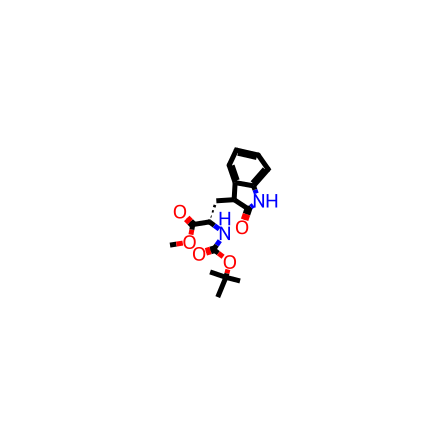 COC(=O)[C@H](CC1C(=O)Nc2ccccc21)NC(=O)OC(C)(C)C